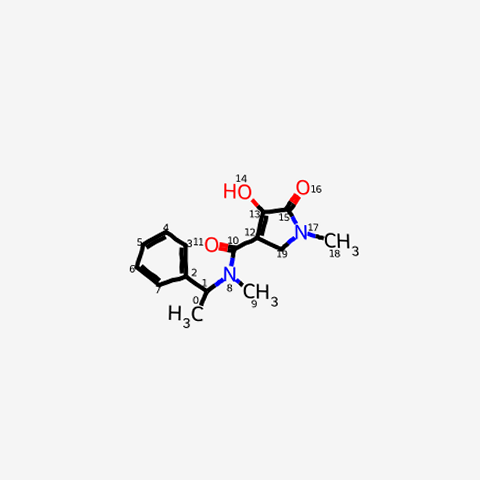 CC(c1ccccc1)N(C)C(=O)C1=C(O)C(=O)N(C)C1